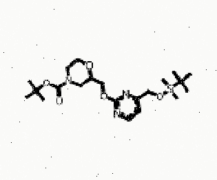 CC(C)(C)OC(=O)N1CCOC(COc2nccc(CO[Si](C)(C)C(C)(C)C)n2)C1